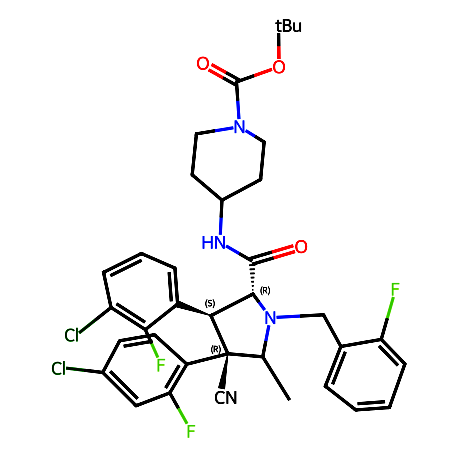 CC1N(Cc2ccccc2F)[C@@H](C(=O)NC2CCN(C(=O)OC(C)(C)C)CC2)[C@H](c2cccc(Cl)c2F)[C@@]1(C#N)c1ccc(Cl)cc1F